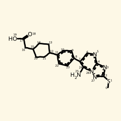 CSc1nc2ncc(-c3ccc(C4CCC(CC(=O)O)CC4)cc3)c(N)n2n1